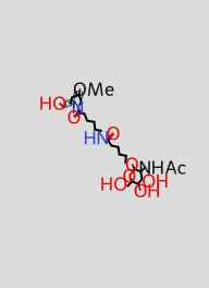 CO[C@@H]1C[C@@H](CO)N(C(=O)CCCCCNC(=O)CCCCCOC2OC(CO)C(O)C(O)C2NC(C)=O)C1